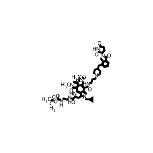 Cn1ccc2c(c1=O)C1=C3C(=CN(CC4CC4)C3CC(C(=O)NCCNC(=O)OC(C)(C)C)N1)C(C(=O)NCCCN1CCC(Cc3cccc4c3CN(C3CCC(=O)NC3=O)C4=O)CC1)=C2CS(C)(=O)=O